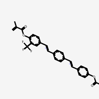 C=CC(=O)Oc1ccc(/C=C/c2ccc(/C=C/c3ccc(OC(=O)C(=C)C)c(C(F)(F)F)c3)cc2)cc1